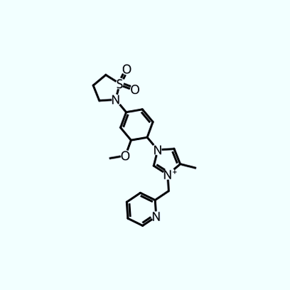 COC1C=C(N2CCCS2(=O)=O)C=CC1n1cc(C)[n+](Cc2ccccn2)c1